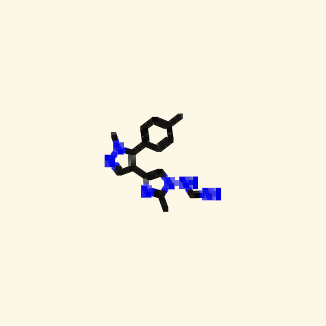 Cc1ccc(-c2c(-c3cn(NC=N)c(C)n3)cnn2C)cc1